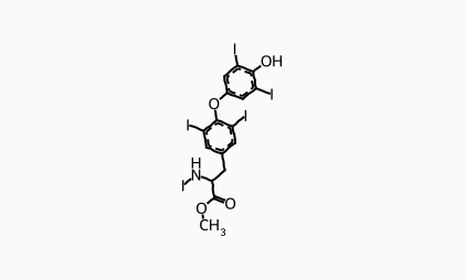 COC(=O)C(Cc1cc(I)c(Oc2cc(I)c(O)c(I)c2)c(I)c1)NI